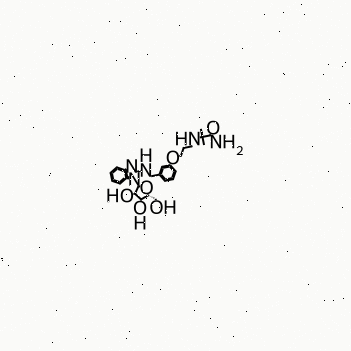 CC(C)(NCCCOc1cccc(CNc2nc3ccccc3n2[C@@H]2O[C@H](CO)[C@@H](O)[C@H]2O)c1)C(N)=O